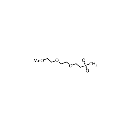 COCCOCCOCCS(C)(=O)=O